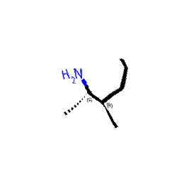 CC[C@@H](C)[C@H](C)N